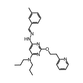 CCCN(CCC)c1cc(N/N=C/c2cccc(C)c2)nc(OCCc2ccccn2)n1